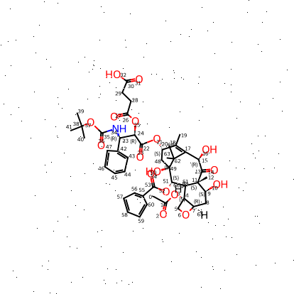 CC(=O)O[C@@]12CO[C@@H]1C[C@H](O)[C@@]1(C)C(=O)[C@H](O)C3=C(C)[C@@H](OC(=O)[C@H](OC(=O)CCC(=O)O)[C@H](NC(=O)OC(C)(C)C)c4ccccc4)C[C@@](O)([C@@H](OC(=O)c4ccccc4)[C@H]21)C3(C)C